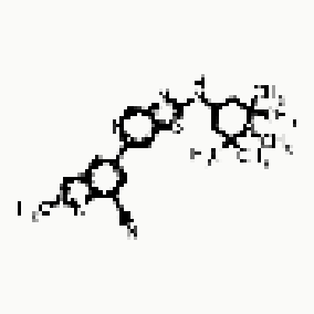 CN1C(C)(C)CC(Nc2nc3cnc(-c4cc(C#N)c5nn(C)cc5c4)cc3s2)CC1(C)C